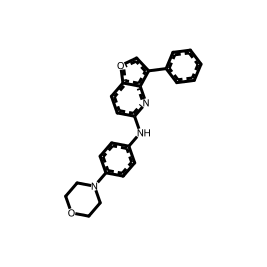 c1ccc(-c2coc3ccc(Nc4ccc(N5CCOCC5)cc4)nc23)cc1